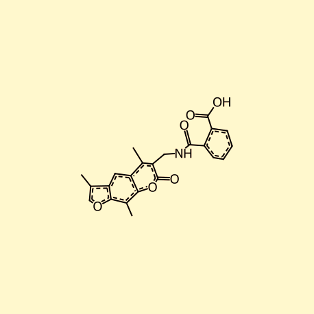 Cc1coc2c(C)c3oc(=O)c(CNC(=O)c4ccccc4C(=O)O)c(C)c3cc12